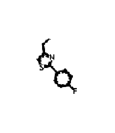 CCc1csc(-c2ccc(F)cc2)n1